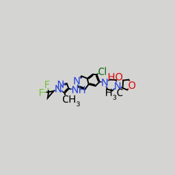 Cc1c(Nc2cc3cc(N4CCN([C@@]5(C)COC[C@H]5O)CC4)c(Cl)cc3cn2)cnn1C1CC1(F)F